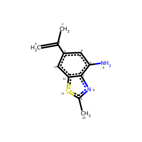 C=C(C)c1cc(N)c2nc(C)sc2c1